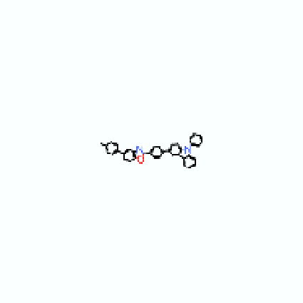 Cc1ccc(-c2ccc3oc(-c4ccc(-c5ccc6c(c5)c5ccccc5n6-c5ccccc5)cc4)nc3c2)cc1